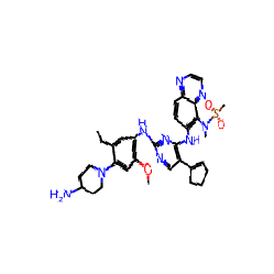 CCc1cc(Nc2ncc(C3=CCCC3)c(Nc3ccc4nccnc4c3N(C)S(C)(=O)=O)n2)c(OC)cc1N1CCC(N)CC1